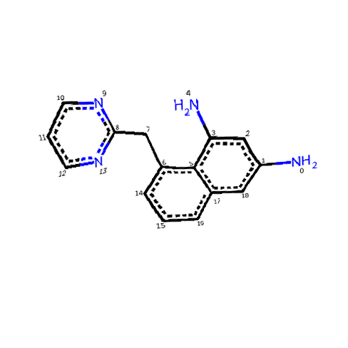 Nc1cc(N)c2c(Cc3ncccn3)cccc2c1